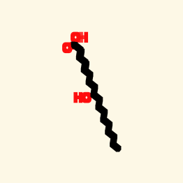 CCCCCCCCC[C@@H](O)CCCC=CC=CC(=O)O